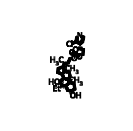 CC[C@@H]1C2C[C@H](O)CC[C@]2(C)C2CC[C@@]3(C)C(CCC3[C@H](C)CCO[P@@]3(=O)OCC[C@@H](c4ccncc4Cl)O3)C2[C@@H]1O